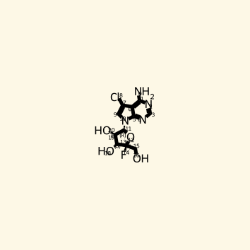 Nc1ncnc2c1c(Cl)cn2[C@@H]1O[C@](F)(CO)[C@@H](O)[C@H]1O